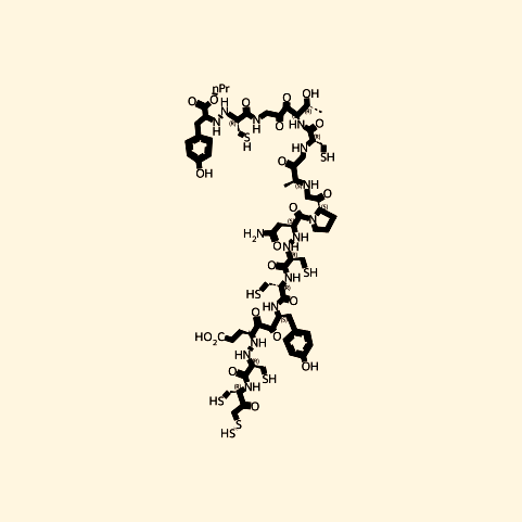 CCCOC(=O)C(Cc1ccc(O)cc1)NN[C@@H](CS)C(=O)NCC(=O)C(=O)[C@@H](NC(=O)[C@H](CS)NCC(=O)[C@H](C)NCC(=O)[C@@H]1CCCN1C(=O)[C@H](CC(N)=O)NN[C@@H](CS)C(=O)N[C@@H](CS)C(=O)N[C@@H](Cc1ccc(O)cc1)C(=O)C(=O)[C@H](CCC(=O)O)NN[C@@H](CS)C(=O)N[C@@H](CS)C(=O)CSS)[C@@H](C)O